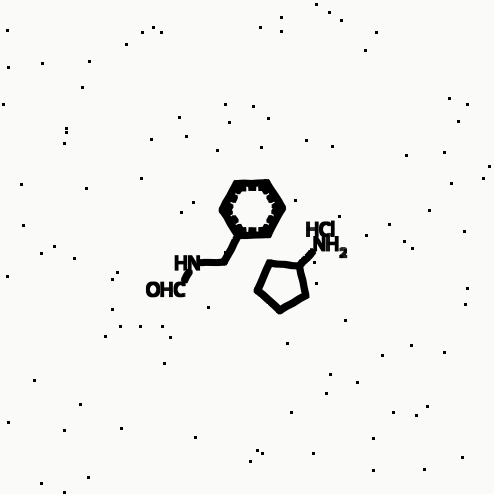 Cl.NC1CCCC1.O=CNCc1ccccc1